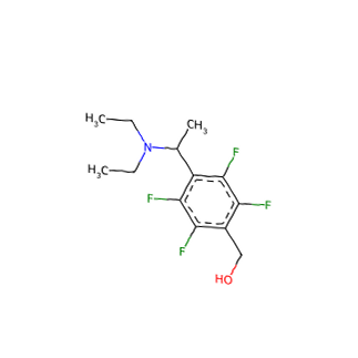 CCN(CC)C(C)c1c(F)c(F)c(CO)c(F)c1F